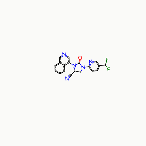 N#CC1CN(c2ccc(C(F)F)cn2)C(=O)N1c1cncc2ccccc12